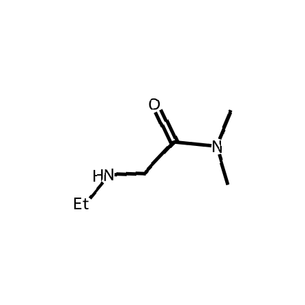 [CH2]CNCC(=O)N(C)C